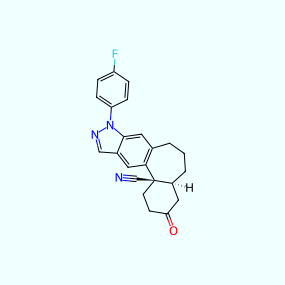 N#C[C@]12CCC(=O)C[C@@H]1CCCc1cc3c(cnn3-c3ccc(F)cc3)cc12